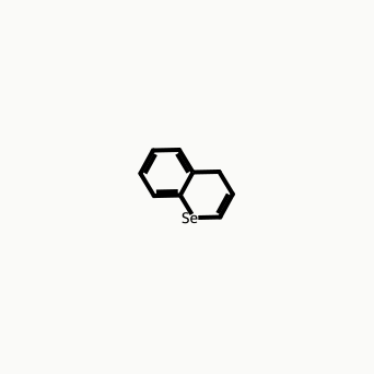 C1=C[Se]c2ccccc2C1